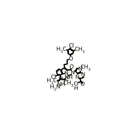 CC(=N)/C(=C(/C)NN)c1c(Cl)ccc2c(CCCOc3cc(C)c(Cl)c(C)c3)c3n(c12)[C@H](C)CN(c1cn(C)c2ncc(C(=O)O)nc12)C3=O